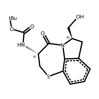 CC(C)(C)OC(=O)N[C@H]1CSc2cccc3c2N(C1=O)[C@@H](CO)C3